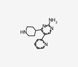 Nc1ncc(-c2ccccn2)c(C2CCNCC2)n1